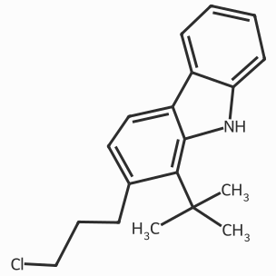 CC(C)(C)c1c(CCCCl)ccc2c1[nH]c1ccccc12